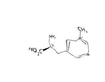 C[n+]1cncc(C[C@H](N)C(=O)O)c1